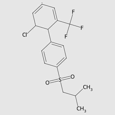 CC(C)CS(=O)(=O)c1ccc(C2C(C(F)(F)F)=C[C]=CC2Cl)cc1